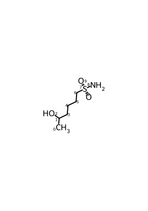 CC(O)CCCCS(N)(=O)=O